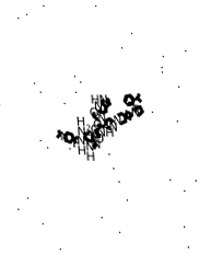 CC(C)c1ccccc1[C@@H]1CCCN1C1CC2(CCN(c3cc(N4CCOc5nc6[nH]ccc6cc54)c(C(=O)NS(=O)(=O)c4cc(N)c(NCC5(F)CCN(C(C)C)CC5)c5[nH]cnc45)cn3)CC2)C1